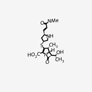 CNC(=O)/C=C/[C@@H]1C[C@H](SC2=C(C(=O)O)N3C(=O)[C@H]([C@@H](C)O)[C@H]3[C@H]2C)CN1